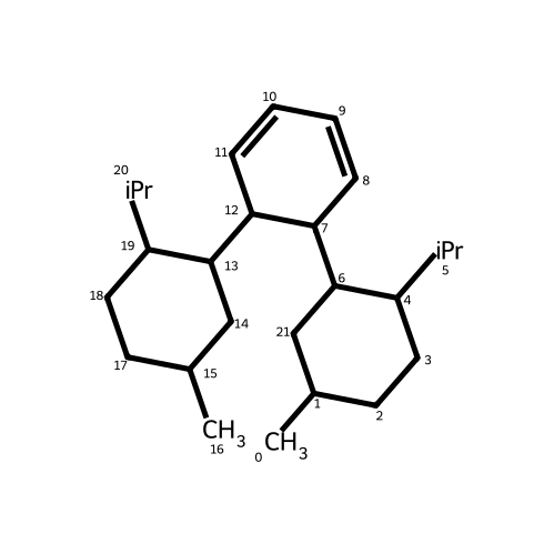 CC1CCC(C(C)C)C([C]2C=CC=CC2C2CC(C)CCC2C(C)C)C1